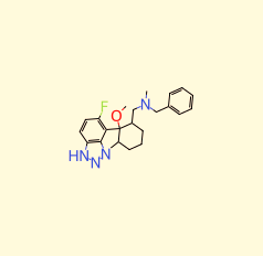 COC1(c2c(F)ccc3[nH]nnc23)C(C)CCCC1CN(C)Cc1ccccc1